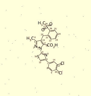 Cc1nn(-c2nc(-c3ccc(Cl)c(Cl)c3)cs2)c(C(=O)O)c1Cc1ccccc1S(C)(=O)=O